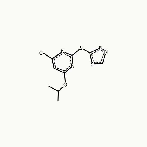 CC(C)Oc1cc(Cl)nc(Sc2nncs2)n1